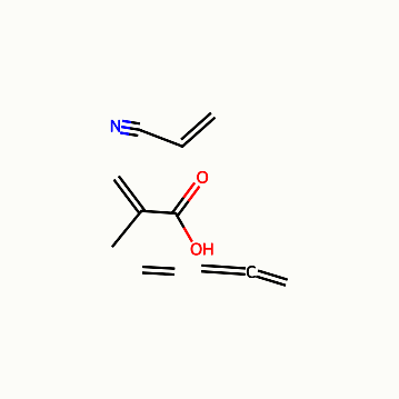 C=C.C=C(C)C(=O)O.C=C=C.C=CC#N